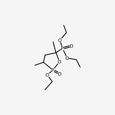 CCOP1(=O)OC(C)(P(=O)(OCC)OCC)CC1C